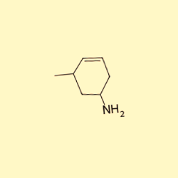 CC1C=CCC(N)C1